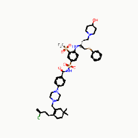 C=C(Cl)CCC1=C(CN2CCN(c3ccc(C(=O)NS(=O)(=O)c4ccc(N[C@H](CCN5CCC(O)CC5)CSc5ccccc5)c(S(=O)(=O)C(F)(F)F)c4)cc3)CC2)CC(C)(C)CC1